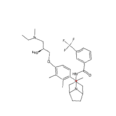 CCN(C)C[C@H](O)COc1ccc(C(C)N2C3CCC2CC(NC(=O)c2cccc(C(F)(F)F)c2)C3)c(C)c1C